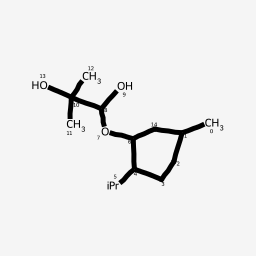 CC1CCC(C(C)C)C(OC(O)C(C)(C)O)C1